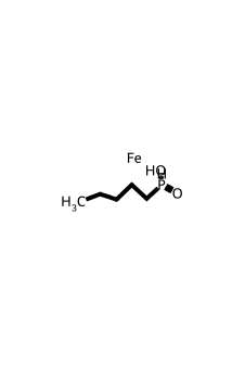 CCCCC[PH](=O)O.[Fe]